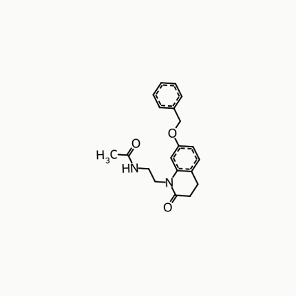 CC(=O)NCCN1C(=O)CCc2ccc(OCc3ccccc3)cc21